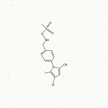 Cc1c(Cl)cc(C#N)n1-c1ccc(CNOS(C)(=O)=O)cc1